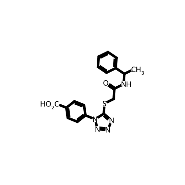 CC(NC(=O)CSc1nnnn1-c1ccc(C(=O)O)cc1)c1ccccc1